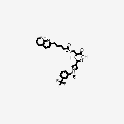 O=C(CCCCc1ccc2c(n1)NCCC2)NCC(NC(=O)C1CN([S+]([O-])c2cccc(C(F)(F)F)c2)C1)C(=O)O